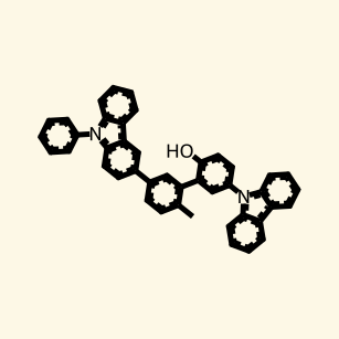 Cc1ccc(-c2ccc3c(c2)c2ccccc2n3-c2ccccc2)cc1-c1cc(-n2c3ccccc3c3ccccc32)ccc1O